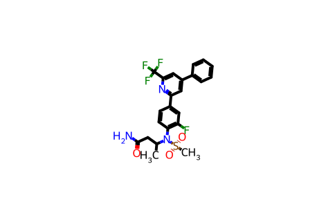 CC(CC(N)=O)N(c1ccc(-c2cc(-c3ccccc3)cc(C(F)(F)F)n2)cc1F)S(C)(=O)=O